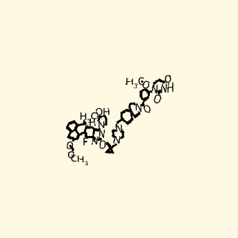 C#Cc1cccc2cc(OCOC)cc(-c3ccc4c(N5CCC[C@@](C)(O)C5)nc(OCC5(CN6CCN(CC7CCC8(CC7)CCN(C(=O)c7ccc(OC)c(N9CCC(=O)NC9=O)c7)CC8)CC6)CC5)nc4c3F)c12